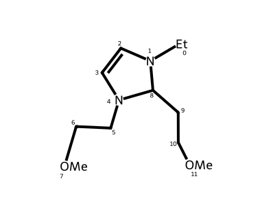 CCN1C=CN(CCOC)C1CCOC